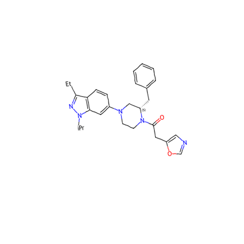 CCc1nn(C(C)C)c2cc(N3CCN(C(=O)Cc4cnco4)[C@@H](Cc4ccccc4)C3)ccc12